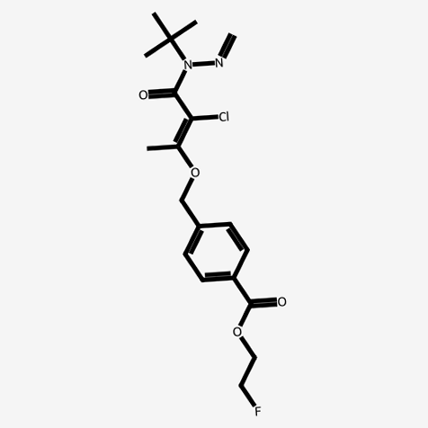 C=NN(C(=O)/C(Cl)=C(\C)OCc1ccc(C(=O)OCCF)cc1)C(C)(C)C